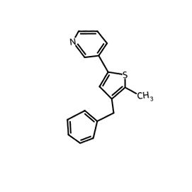 Cc1sc(-c2cccnc2)cc1Cc1ccccc1